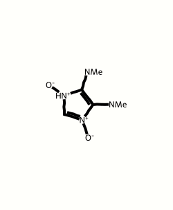 CNC1=C(NC)[NH+]([O-])C=[N+]1[O-]